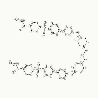 O=C(NO)C1=CCN(S(=O)(=O)c2ccc(-c3ccc(CN4CCN(CCCN5CCN(Cc6ccc(-c7ccc(S(=O)(=O)N8CC=C(C(O)NO)CC8)cc7)cc6)CC5)CC4)cc3)cc2)CC1